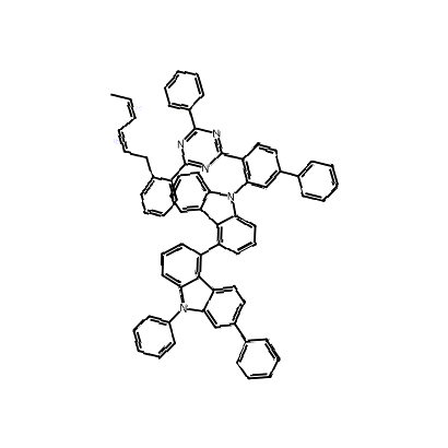 C/C=C\C=C/Cc1ccccc1-c1nc(-c2ccccc2)nc(-c2ccc(-c3ccccc3)cc2-n2c3ccccc3c3c(-c4cccc5c4c4ccc(-c6ccccc6)cc4n5-c4ccccc4)cccc32)n1